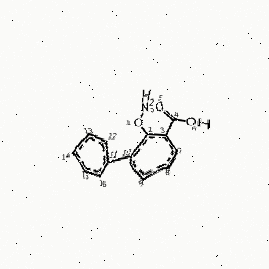 NOc1c(C(=O)O)cccc1-c1ccccc1